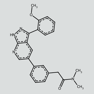 COc1ccccc1-c1n[nH]c2ncc(-c3cccc(CC(=O)N(C)C)c3)cc12